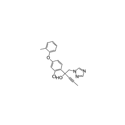 CC#CC(O)(Cn1cncn1)c1ccc(Oc2ccccc2C)cc1Cl